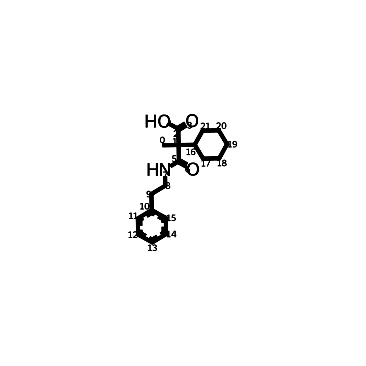 CC(C(=O)O)(C(=O)NCCc1ccccc1)C1CCCCC1